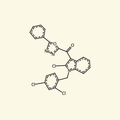 O=C(c1nnc(-c2ccccc2)o1)c1c(Cl)n(Cc2ccc(Cl)cc2Cl)c2ccccc12